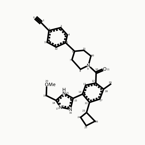 C#Cc1ccc(C2CCN(C(=O)c3cc(-c4nnc(COC)[nH]4)c(C4CCC4)cc3C)CC2)cc1